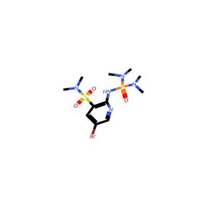 CN(C)P(=O)(Nc1ncc(Br)cc1S(=O)(=O)N(C)C)N(C)C